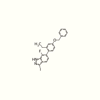 CCc1cc(OCc2ccccc2)ccc1-c1ccc2c(I)n[nH]c2c1F